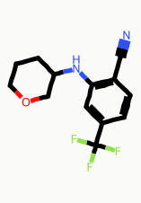 N#Cc1ccc(C(F)(F)F)cc1NC1CCCOC1